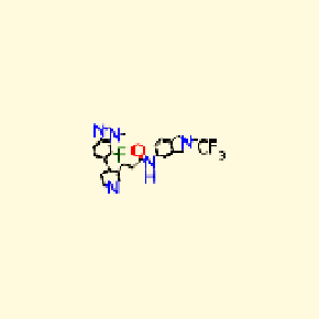 Cn1cnc2ccc(-c3ccncc3C=CC(=O)Nc3ccc4c(c3)CN(CC(F)(F)F)C4)c(F)c21